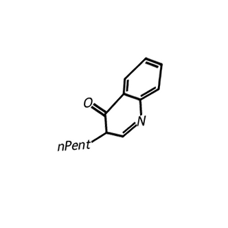 CCCCCC1C=Nc2ccccc2C1=O